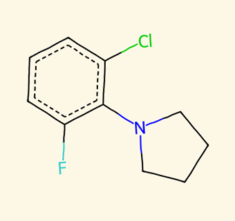 Fc1cccc(Cl)c1N1CCCC1